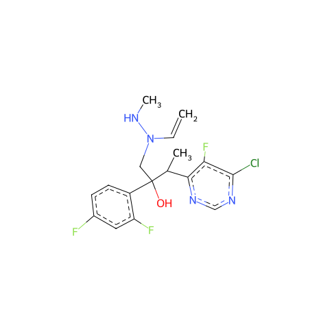 C=CN(CC(O)(c1ccc(F)cc1F)C(C)c1ncnc(Cl)c1F)NC